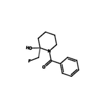 O=C(c1ccccc1)N1CCCCC1(O)CF